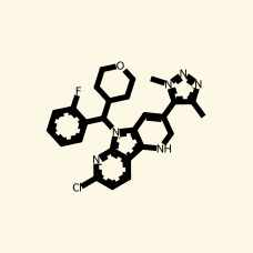 Cc1nnn(C)c1C1=Cc2c(c3ccc(Cl)nc3n2C(c2ccccc2F)C2CCOCC2)NC1